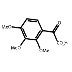 COc1ccc(C(=O)C(=O)O)c(OC)c1OC